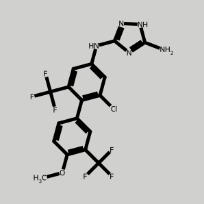 COc1ccc(-c2c(Cl)cc(Nc3n[nH]c(N)n3)cc2C(F)(F)F)cc1C(F)(F)F